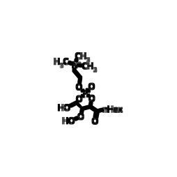 CCCCCCC(=O)C(OP(=O)([O-])OCC[N+](C)(C)C)[C@H](CO)OO